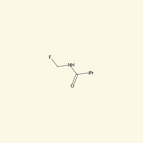 CC(C)C(=O)NCF